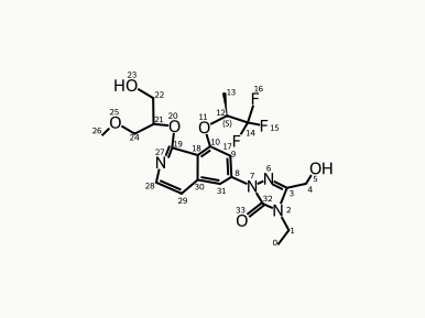 CCn1c(CO)nn(-c2cc(O[C@@H](C)C(F)(F)F)c3c(OC(CO)COC)nccc3c2)c1=O